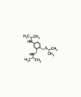 CC(C)NCc1cc(NC(C)C)ccc1CSC(C)C